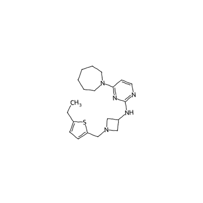 CCc1ccc(CN2CC(Nc3nccc(N4CCCCCC4)n3)C2)s1